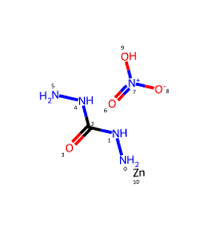 NNC(=O)NN.O=[N+]([O-])O.[Zn]